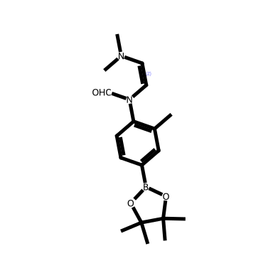 Cc1cc(B2OC(C)(C)C(C)(C)O2)ccc1N(C=O)/C=C\N(C)C